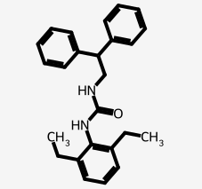 CCc1cccc(CC)c1NC(=O)NCC(c1ccccc1)c1ccccc1